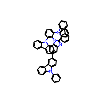 c1ccc(-c2nc3cc(-c4ccc5c(c4)c4ccccc4n5-c4ccccc4)ccc3n2-c2c(-n3c4ccccc4c4ccccc43)cccc2-n2c3ccccc3c3ccccc32)cc1